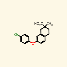 CC1(C(=O)O)CCc2ccc(Oc3ccc(Cl)cc3)cc2C1